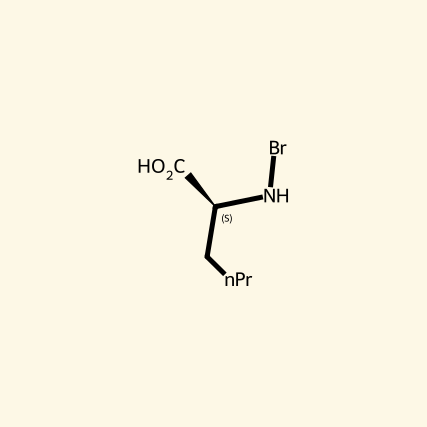 CCCC[C@H](NBr)C(=O)O